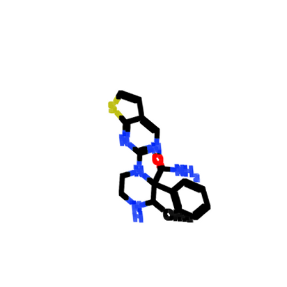 COC1NCCN(c2ncc3ccsc3n2)C1(C(N)=O)c1ccccc1